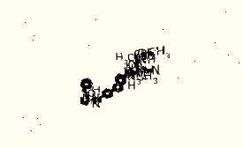 COC(=O)N[C@H](C(=O)N(C[C@@H](C)C#N)[C@@H](C)c1ncc(-c2ccc3cc(-c4ccc(-c5cnc([C@@H]6CCCN6C(=O)Cc6ccccc6)[nH]5)cc4)ccc3c2)[nH]1)C(C)C